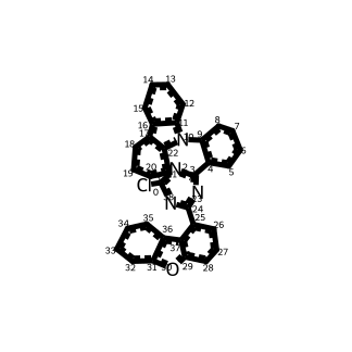 Clc1nc(-c2ccccc2-n2c3ccccc3c3ccccc32)nc(-c2cccc3oc4ccccc4c23)n1